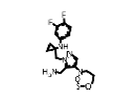 NCc1c(N2CCCOSO2)cnn1CC1(Nc2ccc(F)c(F)c2)CC1